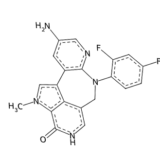 Cn1cc2c3c(c[nH]c(=O)c31)CN(c1ccc(F)cc1F)c1ncc(N)cc1-2